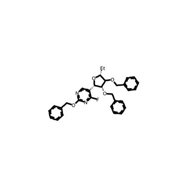 CC[C@H]1O[C@@H](c2cnc(OCc3ccccc3)nc2F)[C@@H](OCc2ccccc2)C1OCc1ccccc1